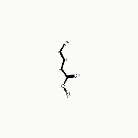 CCOC(=O)[CH]CCC(C)C